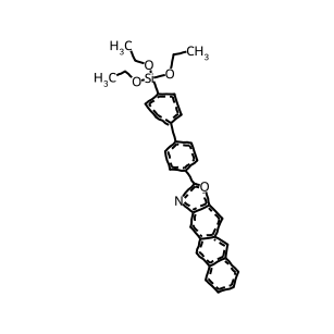 CCO[Si](OCC)(OCC)c1ccc(-c2ccc(-c3nc4cc5cc6ccccc6cc5cc4o3)cc2)cc1